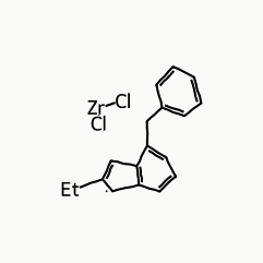 CCC1=Cc2c(cccc2Cc2ccccc2)[CH]1.[Cl][Zr][Cl]